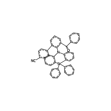 N#Cc1ccc(-c2cccc(C(=O)c3ccccc3)c2N2c3ccccc3[Si](c3ccccc3)(c3ccccc3)c3ccccc32)cc1